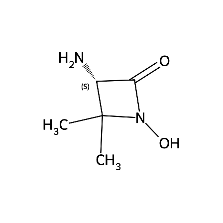 CC1(C)[C@H](N)C(=O)N1O